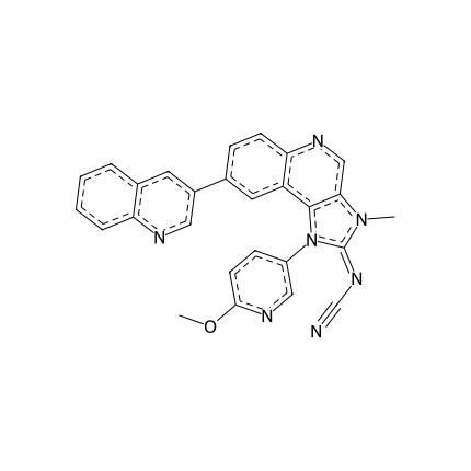 COc1ccc(-n2c(=NC#N)n(C)c3cnc4ccc(-c5cnc6ccccc6c5)cc4c32)cn1